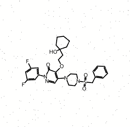 O=c1c(OCCC2(O)CCCCC2)c(N2CCN(S(=O)(=O)Cc3ccccc3)CC2)cnn1-c1cc(F)cc(F)c1